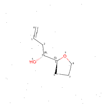 C=CC[C@@H](O)[C@@H]1CCCO1